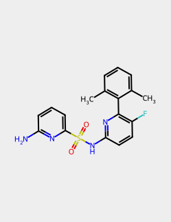 Cc1cccc(C)c1-c1nc(NS(=O)(=O)c2cccc(N)n2)ccc1F